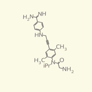 Cc1cc(N(C(=O)CN)C(C)C)c(C)cc1C#CCNc1ccc(C(=N)N)cc1